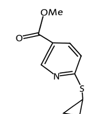 COC(=O)c1ccc(SC2CC2)nc1